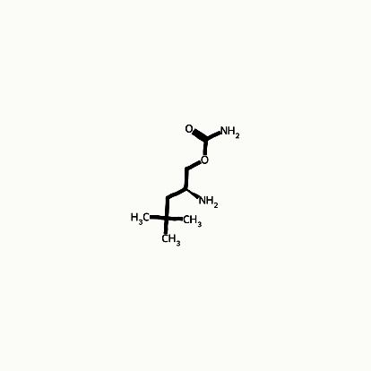 CC(C)(C)C[C@H](N)COC(N)=O